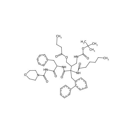 CCCCCC(=O)NC(Cc1ccccc1-c1ccccc1)(C(=O)NC(Cc1ccccc1)C(=O)NC(=O)N1CCOCC1)C(CNC(=O)OC(C)(C)C)COC(=O)CCC